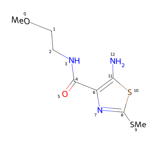 COCCNC(=O)c1nc(SC)sc1N